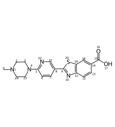 CN1CCN(c2ccc(-c3nc4ccc(C(=O)O)cc4s3)cn2)CC1